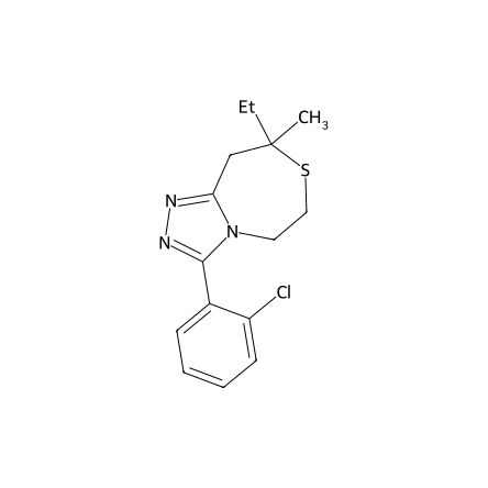 CCC1(C)Cc2nnc(-c3ccccc3Cl)n2CCS1